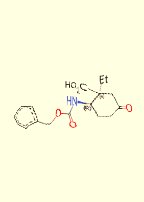 CC[C@]1(C(=O)O)CC(=O)CC[C@H]1NC(=O)OCc1ccccc1